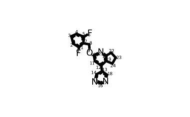 Fc1cccc(F)c1COc1cc(-c2cncnc2)c2c(n1)CCC2